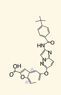 C=C(/C=c1/cc(C(=O)O)o/c1=C/C)Oc1ccc2nc(NC(=O)c3ccc(C(C)(C)C)cc3)cn2n1